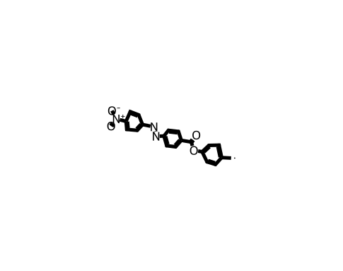 [CH2]c1ccc(OC(=O)c2ccc(N=Nc3ccc([N+](=O)[O-])cc3)cc2)cc1